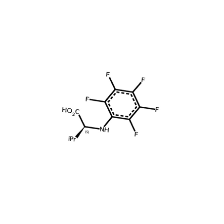 CC(C)[C@H](Nc1c(F)c(F)c(F)c(F)c1F)C(=O)O